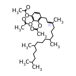 CC(=O)Oc1ccc(C/C=C(\C)CCCC(C)CCCC(C)CCCC(C)C)c(OC(C)=O)c1OC(C)=O